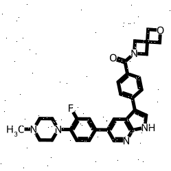 CN1CCN(c2ccc(-c3cnc4[nH]cc(-c5ccc(C(=O)N6CC7(COC7)C6)cc5)c4c3)cc2F)CC1